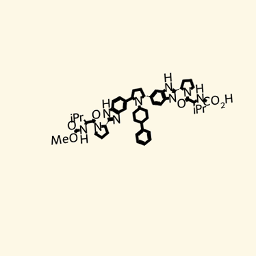 COC(=O)N[C@H](C(=O)N1CCC[C@H]1c1nc2cc(C3CC[C@H](c4ccc5nc([C@@H]6CCCN6C(=O)[C@@H](NC(=O)O)C(C)C)[nH]c5c4)N3C3CCC(c4ccccc4)CC3)ccc2[nH]1)C(C)C